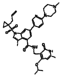 C=CCC1(S(=O)(=O)n2cc(C)c3c(C(=O)NCc4c(OC(C)C)cc(C)[nH]c4=O)cc(-c4ccc(N5CCN(C)CC5)nc4)cc32)CC1